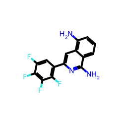 Nc1cccc2c(N)nc(-c3cc(F)c(F)c(F)c3F)cc12